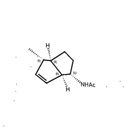 CC(=O)N[C@H]1CC[C@H]2[C@@H]1C=C[C@@H]2C